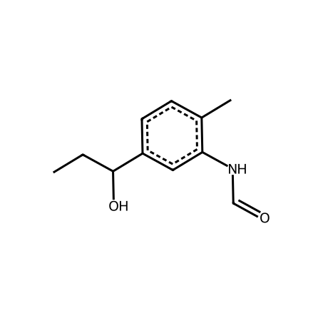 CCC(O)c1ccc(C)c(NC=O)c1